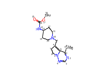 CSC1=NC=NN2CCC(CN3CCC(NC(=O)OC(C)(C)C)CC3)=C12